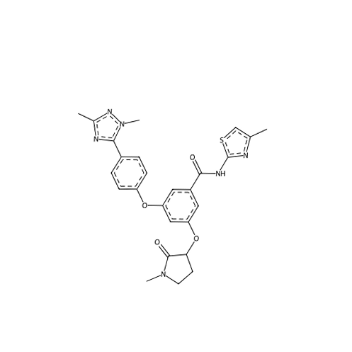 Cc1csc(NC(=O)c2cc(Oc3ccc(-c4nc(C)nn4C)cc3)cc(OC3CCN(C)C3=O)c2)n1